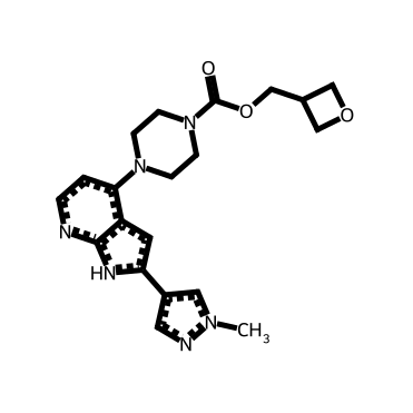 Cn1cc(-c2cc3c(N4CCN(C(=O)OCC5COC5)CC4)ccnc3[nH]2)cn1